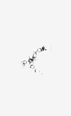 Cc1cc(C=CC#N)cc(C)c1Oc1nc(NC2CCN(Cc3ccc(S(N)(=O)=O)cc3)CC2)ncc1-c1ccnc(F)c1